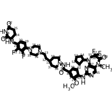 COc1cc(C(=O)NN2CCC(CCN3CCN(c4ccc(NC5CCC(=O)NC5=O)c(F)c4F)CC3)CC2)ccc1Nc1ncc2c(n1)N(C1CCCC1)CC(F)(F)C(=O)N2C